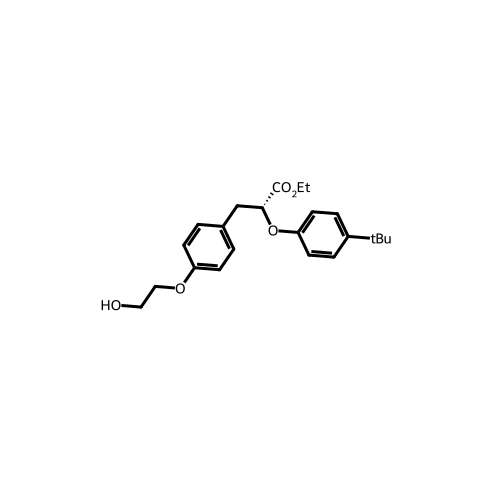 CCOC(=O)[C@@H](Cc1ccc(OCCO)cc1)Oc1ccc(C(C)(C)C)cc1